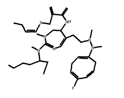 C=C(CS/C=C\CC)C(=C)NC1CN(C)C(N(C)C(CC)CCCC)=NC=C1CCN(C)N(C)/C1=C/C/C=C(F)\C=C/C1